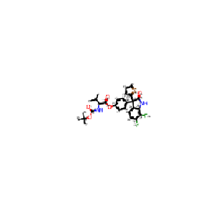 CC(C)[C@H](NC(=O)OC(C)(C)C)C(=O)Oc1ccc(C2(c3cccs3)C(=O)Nc3c2ccc(F)c3F)cc1